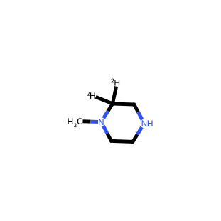 [2H]C1([2H])CNCCN1C